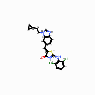 O=C1N=C(Nc2c(Cl)cccc2Cl)S/C1=C\c1ccc2ncn(CCC3CC3)c2c1